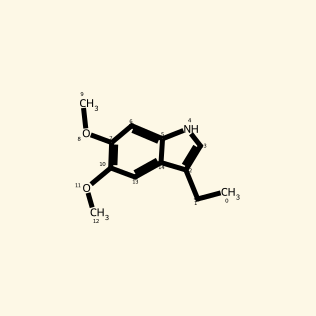 C[CH]c1c[nH]c2cc(OC)c(OC)cc12